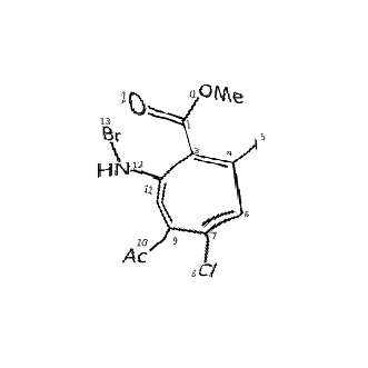 COC(=O)c1c(I)cc(Cl)c(C(C)=O)c1NBr